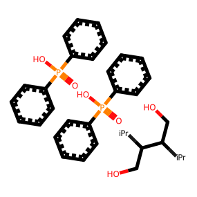 CC(C)C(CO)C(CO)C(C)C.O=P(O)(c1ccccc1)c1ccccc1.O=P(O)(c1ccccc1)c1ccccc1